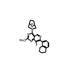 COc1nc(N2CC3CCC(C2)N3)c2cnc(-c3cccc4c3CCCC4)c(F)c2n1